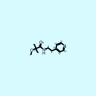 COC(C)(C)C(=O)NCCc1ccncc1